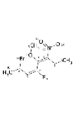 CC/C(=C(OC)\C(F)=C/C(C)Br)[N+](=O)[O-]